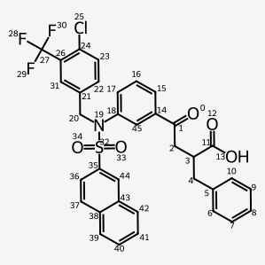 O=C(CC(Cc1ccccc1)C(=O)O)c1cccc(N(Cc2ccc(Cl)c(C(F)(F)F)c2)S(=O)(=O)c2ccc3ccccc3c2)c1